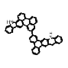 c1ccc2c(c1)Cc1cc3c4ccccc4c4ccc(-c5cc6cccc7c8cccc9c%10[nH]c%11ccccc%11c%10cc(c(c5)c67)c89)cc4c3cc1N2